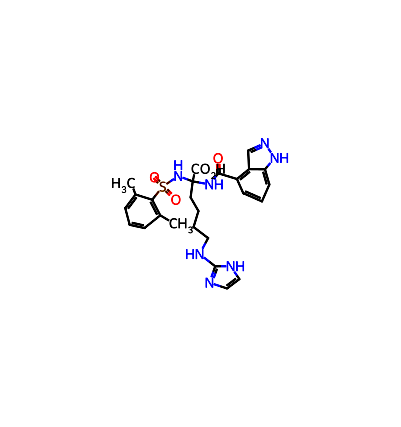 Cc1cccc(C)c1S(=O)(=O)NC(CCCCNc1ncc[nH]1)(NC(=O)c1cccc2[nH]ncc12)C(=O)O